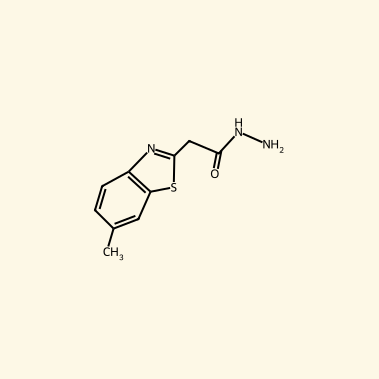 Cc1ccc2nc(CC(=O)NN)sc2c1